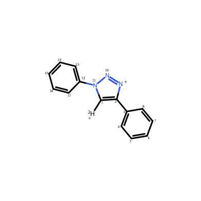 [2H]c1c(-c2ccccc2)nnn1-c1ccccc1